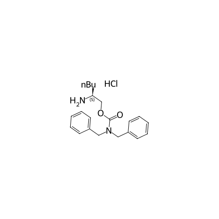 CCCC[C@H](N)COC(=O)N(Cc1ccccc1)Cc1ccccc1.Cl